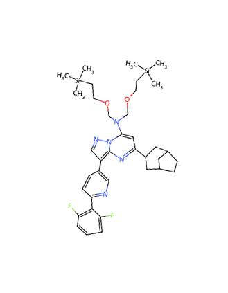 C[Si](C)(C)CCOCN(COCC[Si](C)(C)C)c1cc(C2CC3CCC(C3)C2)nc2c(-c3ccc(-c4c(F)cccc4F)nc3)cnn12